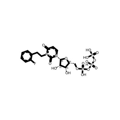 O=c1ccn([C@@H]2O[C@H](COP(=O)(O)OP(=O)(O)OP(=O)(O)O)[C@H](O)[C@@H]2O)c(=O)n1CCc1ccccc1F